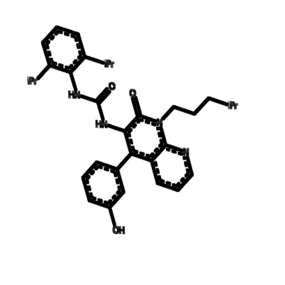 CC(C)CCCn1c(=O)c(NC(=O)Nc2c(C(C)C)cccc2C(C)C)c(-c2cccc(O)c2)c2cccnc21